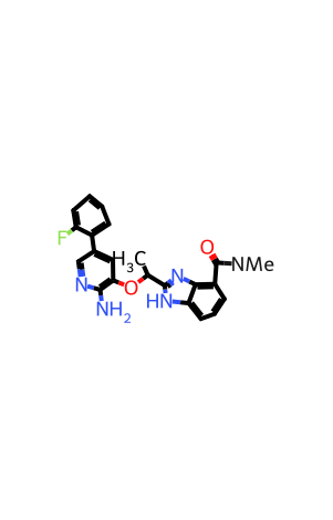 CNC(=O)c1cccc2[nH]c(C(C)Oc3cc(-c4ccccc4F)cnc3N)nc12